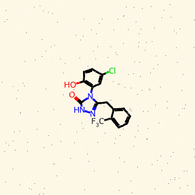 O=c1[nH]nc(Cc2ccccc2C(F)(F)F)n1-c1cc(Cl)ccc1O